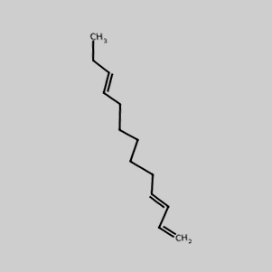 C=CC=CCCCCCC=CCC